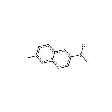 [CH2]c1ccc2cc([S+](C)[O-])ccc2c1